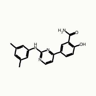 Cc1cc(C)cc(Nc2nccc(-c3ccc(O)c(C(N)=O)c3)n2)c1